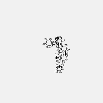 C[C@]12CCC3(C=C1CC[C@@H]1[C@@H]2CC[C@]2(C)C(=C(CO)NC(=O)c4ccccc4)CC[C@@H]12)SCCS3